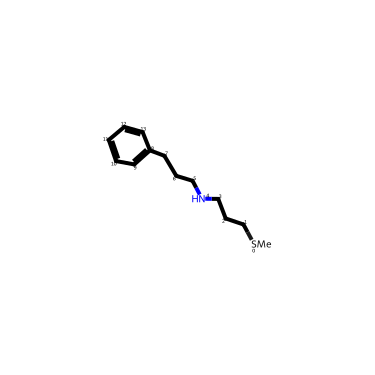 CSCCCNCCCc1ccccc1